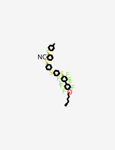 C#CCCCCOc1c(F)c(F)c(-c2c(F)c(F)c(Sc3ccc(Sc4ccc(Sc5cccc(Sc6ccc(C)cc6)c5C#N)cc4)cc3)c(F)c2F)c(F)c1F